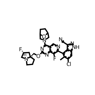 Cc1c(Cl)cc2[nH]nc(C#N)c2c1-c1ncc2c(N3CC4CCC(C3)O4)nc(OC[C@@]34CCCN3C[C@H](F)C4)nc2c1F